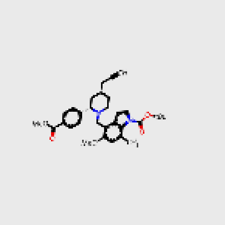 C#CC[C@H]1CCN(Cc2c(OC)cc(C)c3c2ccn3C(=O)OC(C)(C)C)[C@H](c2ccc(C(=O)OC)cc2)C1